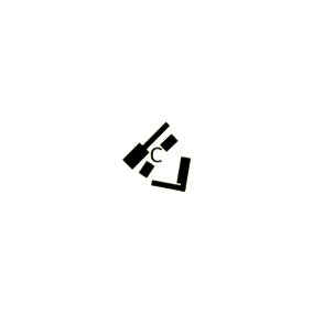 C#CC.C=C=C.C=CC